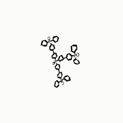 O=P(c1ccccc1)(c1ccccc1)c1ccc(-c2ccc(P(=O)(c3ccc(-c4ccc(P(=O)(c5ccccc5)c5ccccc5)cc4)cc3)c3ccc(-c4ccc(P(=O)(c5ccccc5)c5ccccc5)cc4)cc3)cc2)cc1